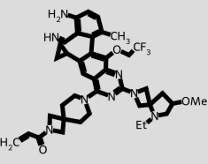 C=CC(=O)N1CC2(CCN(c3nc(N4CC5(CC(OC)CN5CC)C4)nc4c(OCC(F)(F)F)c(-c5c(C)ccc(N)c5C=N)c(C5CC5)cc34)CC2)C1